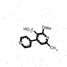 COc1nc(C)cc(-c2ccncc2)c1C(=O)O